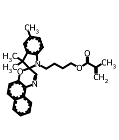 C=C(C)C(=O)OCCCCN1c2ccc(C)cc2C(C)(C)C12C=Nc1c(ccc3ccccc13)O2